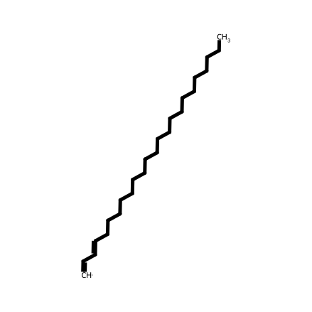 [CH]=CC=CCCCCCCCCCCCCCCCCCCCC